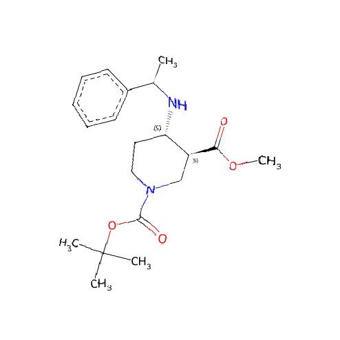 COC(=O)[C@H]1CN(C(=O)OC(C)(C)C)CC[C@@H]1NC(C)c1ccccc1